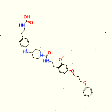 COc1cc(OCCCOc2ccccc2)ccc1CCNC(=O)N1CCC(Nc2ccc(CCNC(=O)O)cc2)CC1